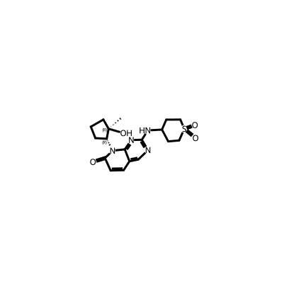 C[C@@]1(O)CCC[C@H]1n1c(=O)ccc2cnc(NC3CCS(=O)(=O)CC3)nc21